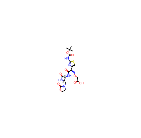 CC(C)(C)OC(=O)Nc1nc(C(=NOCC(=O)O)C(=O)N[C@@H]2C(=O)N[C@@H]2CN2CCOC2=O)cs1